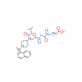 COC(=O)/C=C/CNC(=O)CNC(=O)CN(C(=O)CC(C)C)C1CCN([C@H](C)c2cccc3ccccc23)CC1